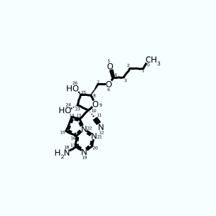 CCCCC(=O)OC[C@H]1O[C@@](C#N)(c2ccc3c(N)ncnn23)[C@H](O)[C@@H]1O